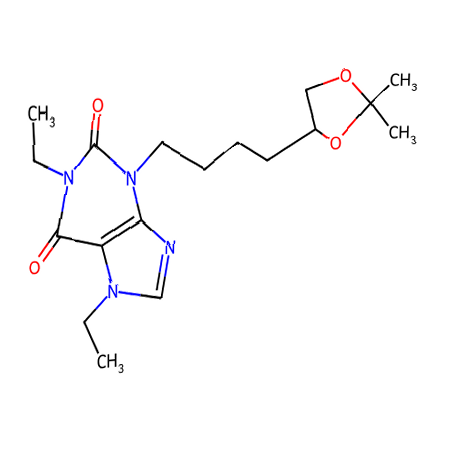 CCn1c(=O)c2c(ncn2CC)n(CCCCC2COC(C)(C)O2)c1=O